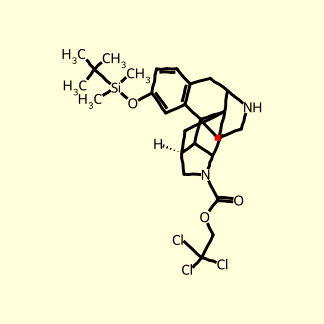 CC(C)(C)[Si](C)(C)Oc1ccc2c(c1)C13CCNC(C2)C12CCC1C3[C@@H](CN1C(=O)OCC(Cl)(Cl)Cl)C2